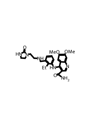 CCc1c(CNCCN2CCNC2=O)cccc1Nc1c(C(N)=O)cnc2cc(OC)c(OC)cc12